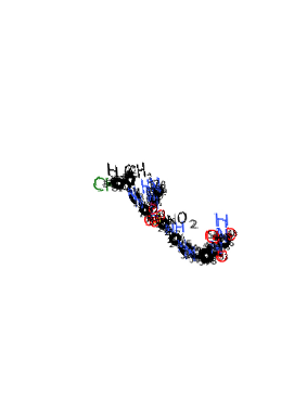 CC1(C)CCC(CN2CCN(c3ccc(C(=O)NS(=O)(=O)c4ccc(NC[C@H]5CC[C@H](N6CCN(Cc7ccc8c(c7)CN(C7CCC(=O)NC7=O)C8=O)CC6)CC5)c([N+](=O)[O-])c4)c(Oc4cnc5[nH]ccc5c4)c3)CC2)=C(c2ccc(Cl)cc2)C1